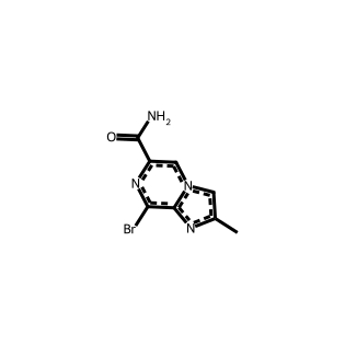 Cc1cn2cc(C(N)=O)nc(Br)c2n1